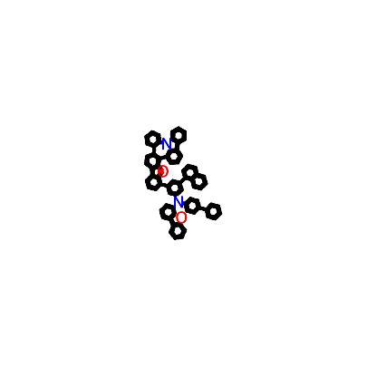 c1ccc(-c2ccc(N(c3cc(-c4cccc5ccccc45)cc(-c4cccc5c4oc4c6c(ccc45)-c4ccccc4-n4c5ccccc5c5cccc-6c54)c3)c3cccc4c3oc3ccccc34)cc2)cc1